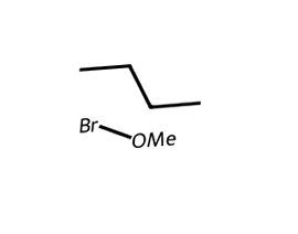 CCCC.COBr